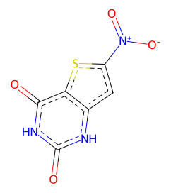 O=c1[nH]c(=O)c2sc([N+](=O)[O-])cc2[nH]1